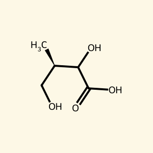 C[C@H](CO)C(O)C(=O)O